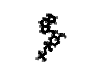 C[C@@H]1CCN(S(=O)(=O)CCC(F)(F)F)CC1Nc1ncc2cnc3[nH]ccc3n12